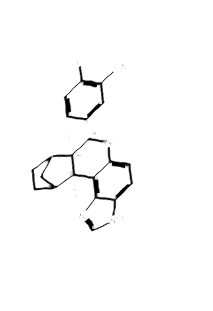 N#Cc1cc([C@@H]2Nc3ccc4[nH]cnc4c3[C@H]3C4CCC(C4)[C@@H]23)ccc1F